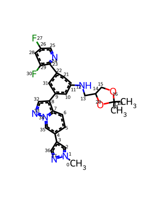 Cn1cc(-c2ccc3c(-c4cc(NCC5COC(C)(C)O5)cc(-c5ncc(F)cc5F)c4)cnn3c2)cn1